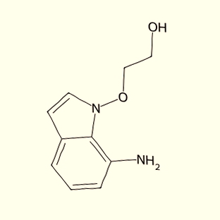 Nc1cccc2ccn(OCCO)c12